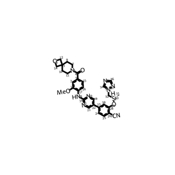 COc1cc(C(=O)N2CCC3(CC2)COC3)ccc1Nc1ncc(-c2ccc(C#N)c(O[Si@@H](C)Cn3cncn3)c2)cn1